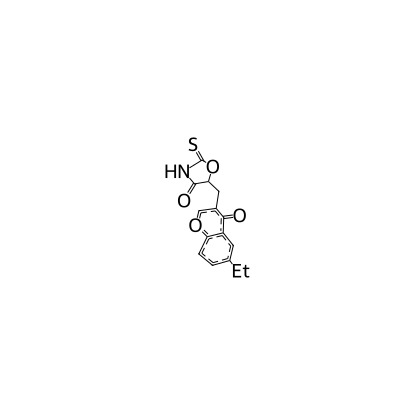 CCc1ccc2occ(CC3OC(=S)NC3=O)c(=O)c2c1